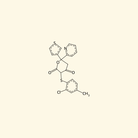 Cc1ccc(SC2C(=O)CC(c3ccsc3)(c3ccccn3)OC2=O)c(Cl)c1